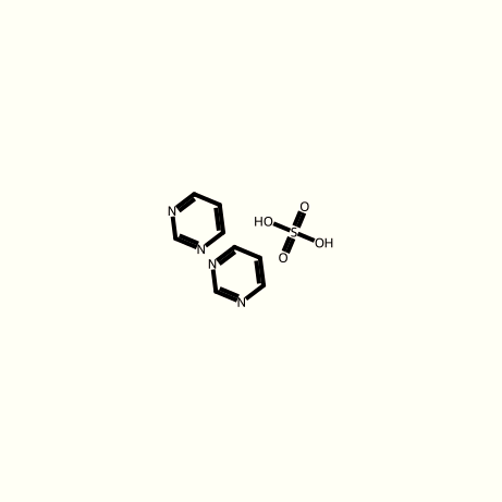 O=S(=O)(O)O.c1cncnc1.c1cncnc1